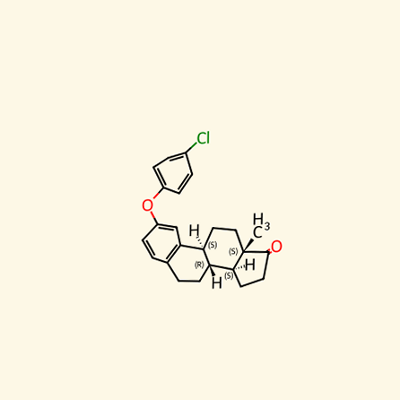 C[C@]12CC[C@@H]3c4cc(Oc5ccc(Cl)cc5)ccc4CC[C@H]3[C@@H]1CCC2=O